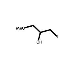 COCC(O)CI